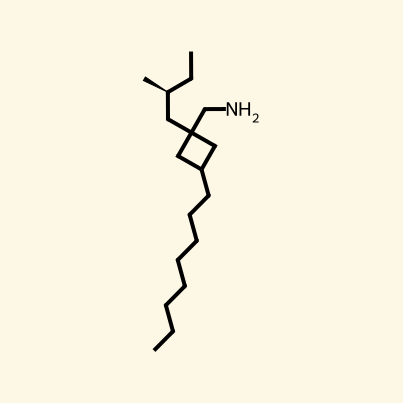 CCCCCCCCC1CC(CN)(C[C@@H](C)CC)C1